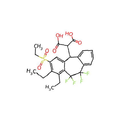 CCc1c(S(=O)(=O)CC)cc2c(c1CC)C(F)(F)C(F)(F)c1ccccc1C2C(C(=O)O)C(=O)O